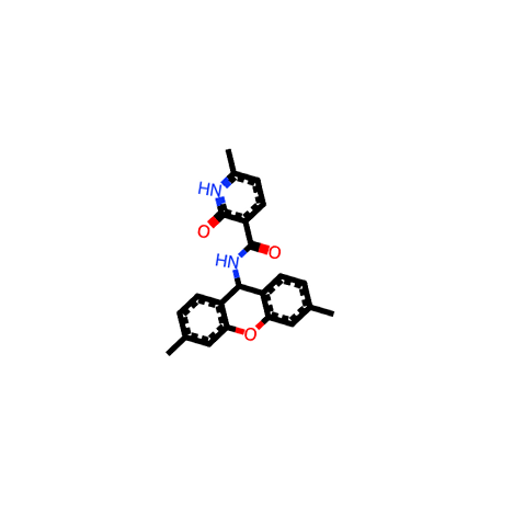 Cc1ccc2c(c1)Oc1cc(C)ccc1C2NC(=O)c1ccc(C)[nH]c1=O